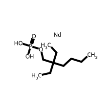 CCCCC(CC)(CC)COP(=O)(O)O.[Nd]